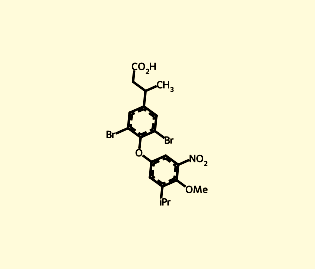 COc1c(C(C)C)cc(Oc2c(Br)cc(C(C)CC(=O)O)cc2Br)cc1[N+](=O)[O-]